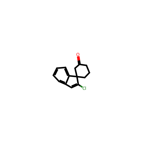 O=C1CCCC2(C1)C(Cl)=Cc1ccccc12